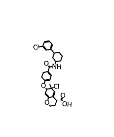 CC1(Cl)C=C2C(=CC1OC1=CC=C(C(=O)NC3CCCC(c4cccc(Cl)c4)C3)CC1)OCC[C@H]2C(=O)O